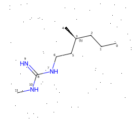 CCC[C@H](C)CCNC(=N)NC